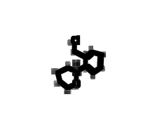 ClCc1ccccc1[SiH]1CCCCO1